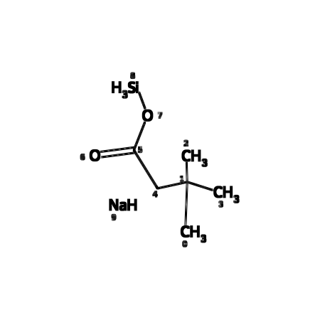 CC(C)(C)CC(=O)O[SiH3].[NaH]